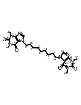 Cn1c(=O)c2c(ncn2CCCCCCCCCn2cnc3c2c(=O)n(C)c(=O)n3C)n(C)c1=O